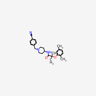 Cc1ccc(C)c(OC(C)(C)C(=O)NC2CCN(Cc3ccc(C#N)cc3)CC2)c1